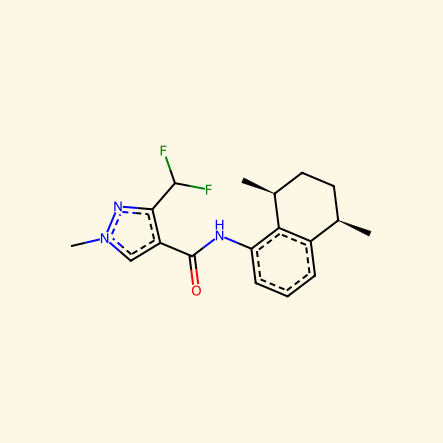 C[C@@H]1CC[C@H](C)c2c(NC(=O)c3cn(C)nc3C(F)F)cccc21